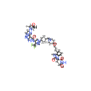 C[C@H]1C2O[C@@H]2CN1c1ccn2ncc(C(=O)Nc3cn([C@H]4CC[C@H](CN5CCC(OCCCc6cccc7c6n(C)c(=O)n7C6CCC(=O)NC6=O)CC5)CC4)nc3C(F)F)c2n1